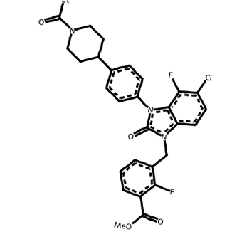 CCC(=O)N1CCC(c2ccc(-n3c(=O)n(Cc4cccc(C(=O)OC)c4F)c4ccc(Cl)c(F)c43)cc2)CC1